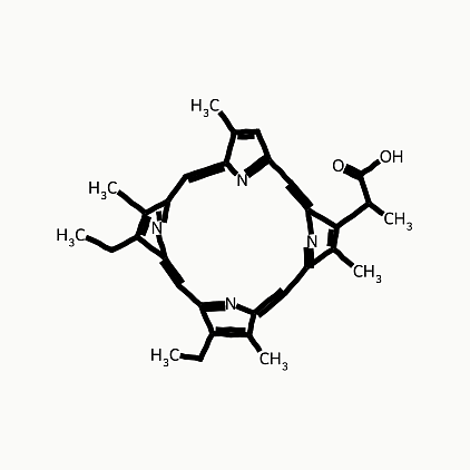 CCC1=C(C)C2=NC1=CC1=NC(=CC3=NC(=CC4=NC(=C2)C(C)=C4)C(C(C)C(=O)O)=C3C)C(C)=C1CC